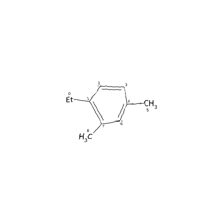 CCc1[c]cc(C)[c]c1C